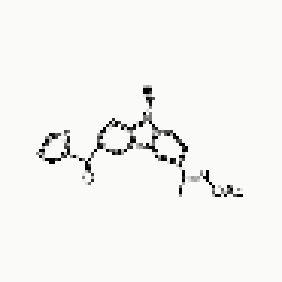 C#Cn1c2ccc(C(=O)c3cccs3)cc2c2cc(/C(C)=N/OC(C)=O)ccc21